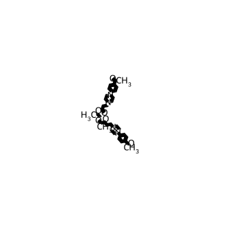 CC(=O)c1ccc(N2CCN(CCC(=O)OC(C)COC(C)C(=O)CCN3CCN(c4ccc(C(C)=O)cc4)CC3)CC2)cc1